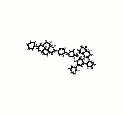 c1ccc(-c2cc3ccc4cc(-c5ccc(-c6ccc(N(c7cc(-c8cccnc8)cc(-c8cccnc8)c7)c7cccc8ccccc78)cc6)cc5)cc5ccc(c2)c3c45)cc1